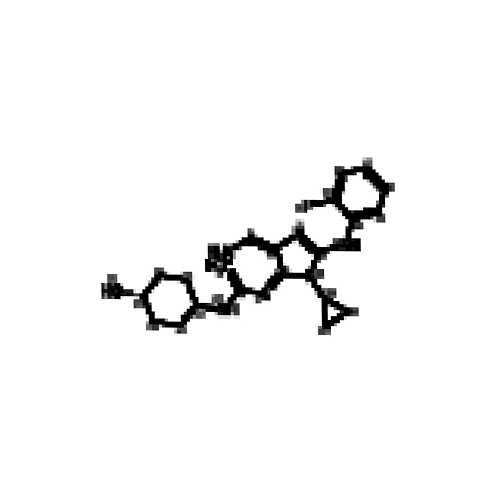 C=C(/N=C1\C(=C/N)N=C(Nc2ccccc2F)N1C1CC1)N[C@H]1CC[C@H](O)CC1